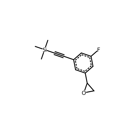 C[Si](C)(C)C#Cc1cc(F)cc(C2CO2)c1